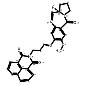 COc1cc2c(cc1OCCCN1C(=O)c3cccc4cccc(c34)C1=O)N=C[C@@H]1CCCN1C2=O